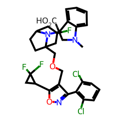 CN1CC(C(=O)O)(N2C3CCC2(COCc2c(-c4c(Cl)cccc4Cl)noc2C2CC2(F)F)CC(F)C3)c2ccccc21